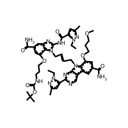 CCn1nc(C)cc1C(=O)Nc1nc2cc(C(N)=O)cc(OCCCNC(=O)OC(C)(C)C)c2n1C/C=C/Cn1c2nc(-c3cc(C)nn3CC)ncc2c2cc(C(N)=O)cc(OCCCOC)c21